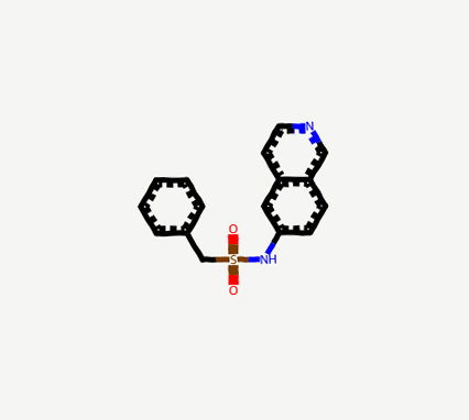 O=S(=O)(Cc1ccccc1)Nc1ccc2cnccc2c1